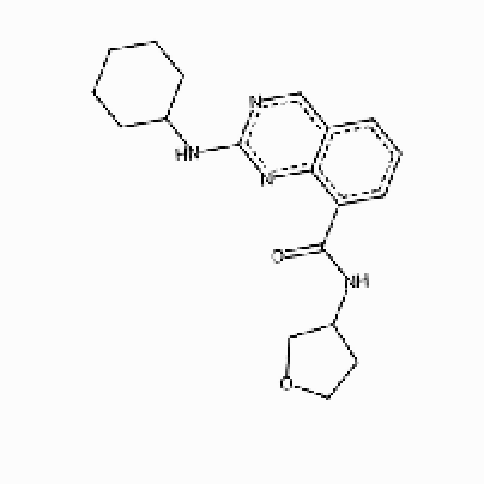 O=C(NC1CCOC1)c1cccc2cnc(NC3CCCCC3)nc12